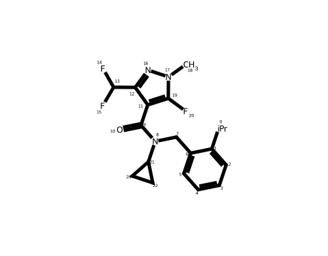 CC(C)c1ccccc1CN(C(=O)c1c(C(F)F)nn(C)c1F)C1CC1